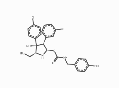 CC(C)(C)C[C@@H]1N[C@H](OC(=O)NCc2ccc(O)cc2)[C@H](c2cccc(Cl)c2)[C@@]1(C#N)c1ccc(Cl)cc1